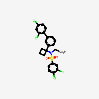 O=C(O)CN(C1(c2cccc(-c3ccc(Cl)cc3Cl)c2)CCC1)S(=O)(=O)c1ccc(Cl)c(Cl)c1